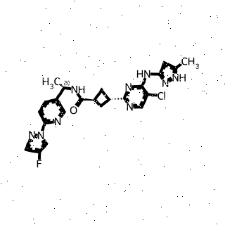 Cc1cc(Nc2nc([C@H]3C[C@H](C(=O)N[C@@H](C)c4ccc(-n5cc(F)cn5)nc4)C3)ncc2Cl)n[nH]1